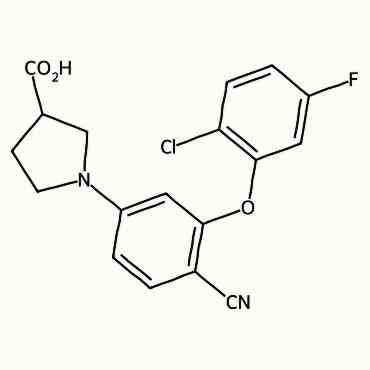 N#Cc1ccc(N2CCC(C(=O)O)C2)cc1Oc1cc(F)ccc1Cl